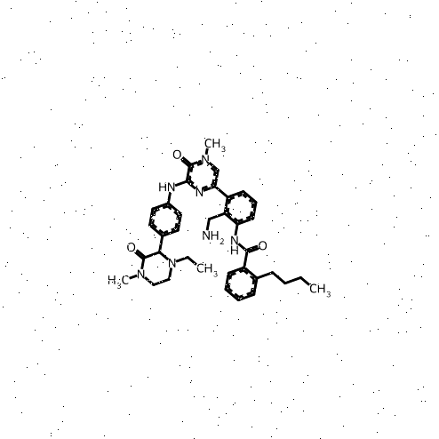 CCCCc1ccccc1C(=O)Nc1cccc(-c2cn(C)c(=O)c(Nc3ccc(C4C(=O)N(C)CCN4CC)cc3)n2)c1CN